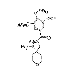 CCCCOc1c(OC)cc(C(=O)NCC2(N(C)C)CCOCC2)cc1OC